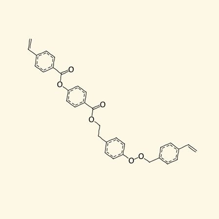 C=Cc1ccc(COOc2ccc(CCOC(=O)c3ccc(OC(=O)c4ccc(C=C)cc4)cc3)cc2)cc1